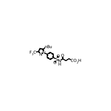 CCCCc1cc(C(F)(F)F)nn1-c1ccc(S(=O)(=O)NC(=O)CCC(=O)O)cc1